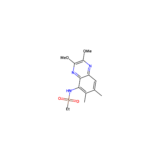 CCS(=O)(=O)Nc1c(C)c(C)cc2nc(OC)c(OC)nc12